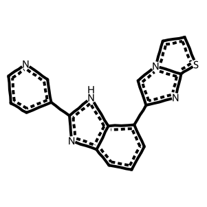 c1cncc(-c2nc3cccc(-c4cn5ccsc5n4)c3[nH]2)c1